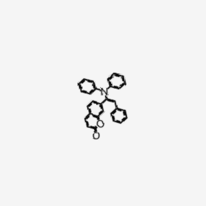 O=c1ccc2ccc(C(=Cc3ccccc3)N(c3ccccc3)c3ccccc3)cc2o1